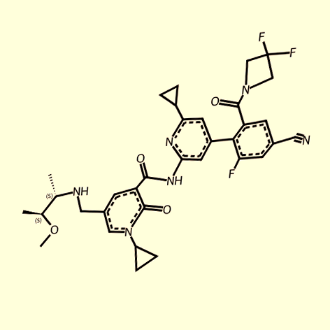 CO[C@@H](C)[C@H](C)NCc1cc(C(=O)Nc2cc(-c3c(F)cc(C#N)cc3C(=O)N3CC(F)(F)C3)cc(C3CC3)n2)c(=O)n(C2CC2)c1